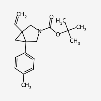 C=CC12CN(C(=O)OC(C)(C)C)CC1(c1ccc(C)cc1)C2